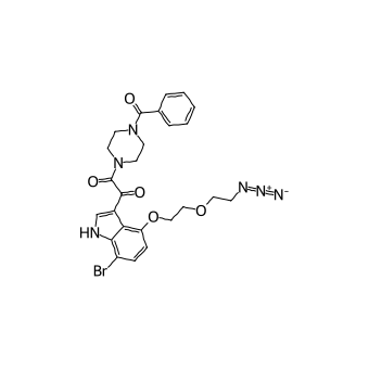 [N-]=[N+]=NCCOCCOc1ccc(Br)c2[nH]cc(C(=O)C(=O)N3CCN(C(=O)c4ccccc4)CC3)c12